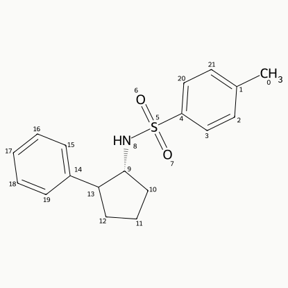 Cc1ccc(S(=O)(=O)N[C@@H]2CCCC2c2ccccc2)cc1